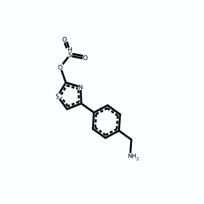 NCc1ccc(-c2csc(O[SH](=O)=O)n2)cc1